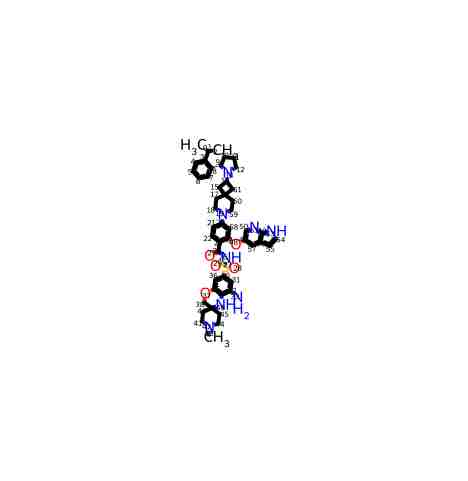 CC(C)c1ccccc1[C@@H]1CCCN1C1CC2(CCN(c3ccc(C(=O)NS(=O)(=O)c4cc(N)c5c(c4)OCC4(CCN(C)CC4)N5)c(Oc4cnc5[nH]ccc5c4)c3)CC2)C1